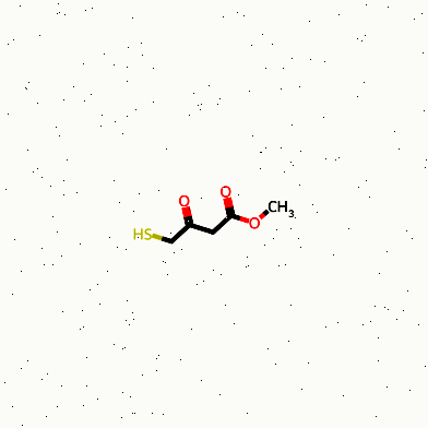 COC(=O)CC(=O)CS